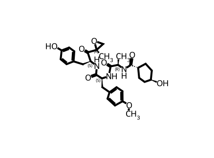 COc1ccc(C[C@H](NC(=O)[C@@H](C)NC(=O)[C@H]2CC[C@H](O)CC2)C(=O)N[C@@H](Cc2ccc(O)cc2)C(=O)[C@@]2(C)CO2)cc1